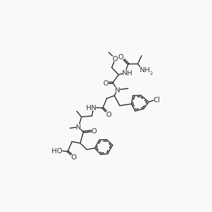 COCC(NC(=O)C(C)N)C(=O)N(C)C(CC(=O)NCC(C)N(C)C(=O)C(CC(=O)O)Cc1ccccc1)Cc1ccc(Cl)cc1